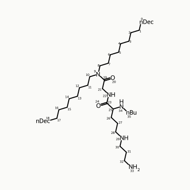 CCCCCCCCCCCCCCCCCCN(CCCCCCCCCCCCCCCCCC)C(=O)CNC(=O)C(CCCNCCCN)NCCCC